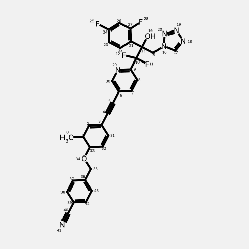 CC1C=C(C#Cc2ccc(C(F)(F)C(O)(Cn3cnnn3)c3ccc(F)cc3F)nc2)C=CC1OCc1ccc(C#N)cc1